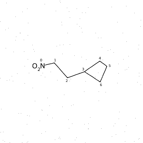 O=[N+]([O-])CCC1CCC1